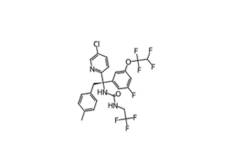 Cc1ccc(C[C@](NC(=O)NCC(F)(F)F)(c2cc(F)cc(OC(F)(F)C(F)F)c2)c2ccc(Cl)cn2)cc1